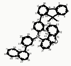 CC1(C)c2ccccc2-c2cccc(-c3ccc(N(c4cccc(-c5cccc6ccccc56)c4)c4cccc5oc6ccccc6c45)cc3)c21